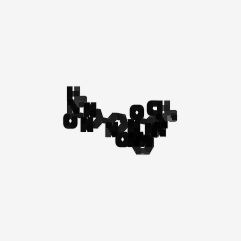 COc1nc(-c2cnc(C(N)=O)nc2)ccc1NC(=O)c1c(C)nnn1-c1ccccc1